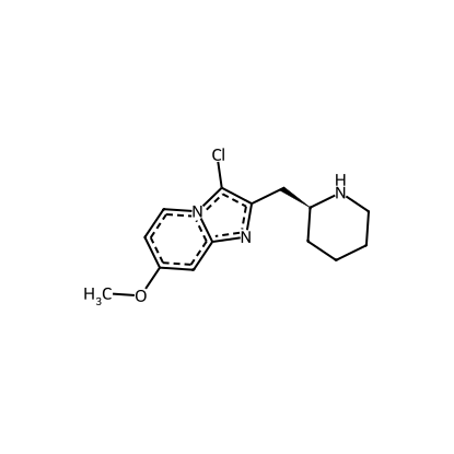 COc1ccn2c(Cl)c(C[C@@H]3CCCCN3)nc2c1